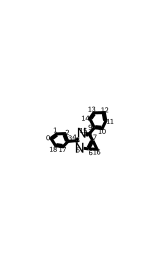 c1ccc(-c2nc3c(c(-c4ccccc4)n2)C3)cc1